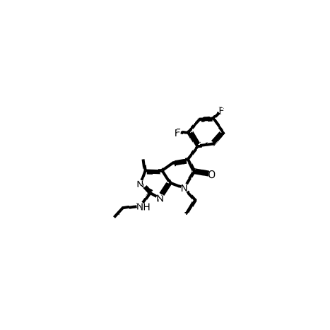 CCNc1nc(C)c2cc(-c3ccc(F)cc3F)c(=O)n(CC)c2n1